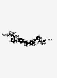 COC(=O)N[C@H](C(=O)N1CCC[C@H]1c1nc2cc(-c3csc(-c4ccc5[nH]c([C@@H]6CCCN6C(=O)[C@@H](NC(=O)OC)C(C)C)nc5c4)c3)ccc2[nH]1)C(C)C